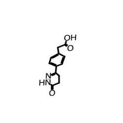 O=C(O)Cc1ccc(C2=NNC(=O)CC2)cc1